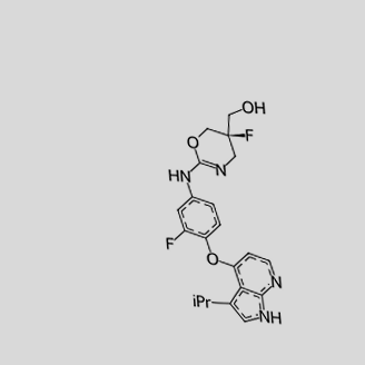 CC(C)c1c[nH]c2nccc(Oc3ccc(NC4=NC[C@@](F)(CO)CO4)cc3F)c12